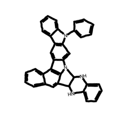 c1ccc(-n2c3ccccc3c3cc4c5c6ccccc6cc6c5n(c4cc32)C2Nc3ccccc3NC62)cc1